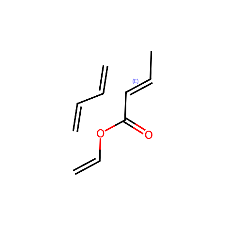 C=CC=C.C=COC(=O)/C=C/C